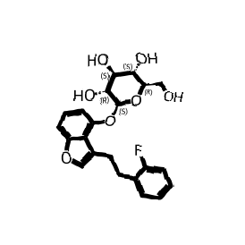 OC[C@H]1O[C@@H](Oc2cccc3occ(CCc4ccccc4F)c23)[C@H](O)[C@@H](O)[C@@H]1O